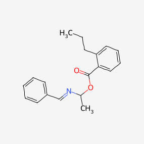 CCCc1ccccc1C(=O)OC(C)N=Cc1ccccc1